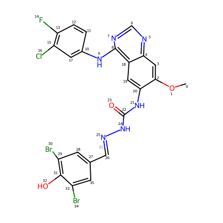 COc1cc2ncnc(Nc3ccc(F)c(Cl)c3)c2cc1NC(=O)N/N=C/c1cc(Br)c(O)c(Br)c1